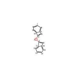 C1=C(OC2=Cc3ccccc32)c2ccccc21